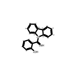 N=C(c1ccccc1O)n1c2ccccc2c2ccccc21